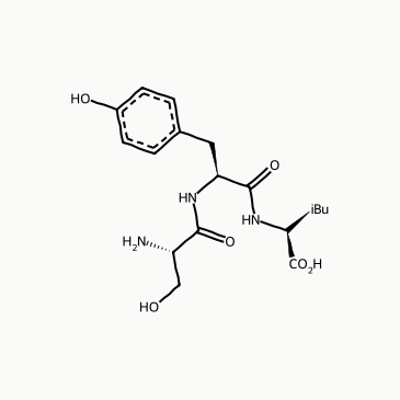 CC[C@H](C)[C@H](NC(=O)[C@H](Cc1ccc(O)cc1)NC(=O)[C@@H](N)CO)C(=O)O